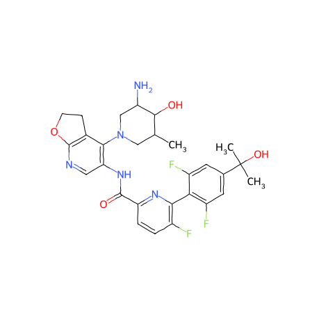 CC1CN(c2c(NC(=O)c3ccc(F)c(-c4c(F)cc(C(C)(C)O)cc4F)n3)cnc3c2CCO3)CC(N)C1O